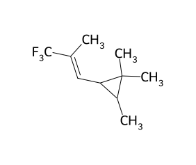 C/C(=C\C1C(C)C1(C)C)C(F)(F)F